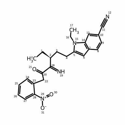 CC[C@@H](CCc1cc2ccc(C#N)cc2n1CC)C(=N)C(=O)Cc1ccccc1[N+](=O)[O-]